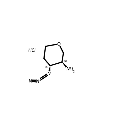 Cl.[N-]=[N+]=N[C@H]1CCOC[C@H]1N